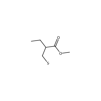 CCC(C[S])C(=O)OC